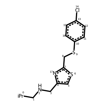 CC(C)CNCc1csc(CSc2ccc(Cl)cc2)n1